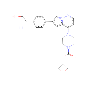 N[C@H](CO)c1ccc(-c2cc3c(N4CCN(C(=O)OC5COC5)CC4)ccnn3c2)cc1